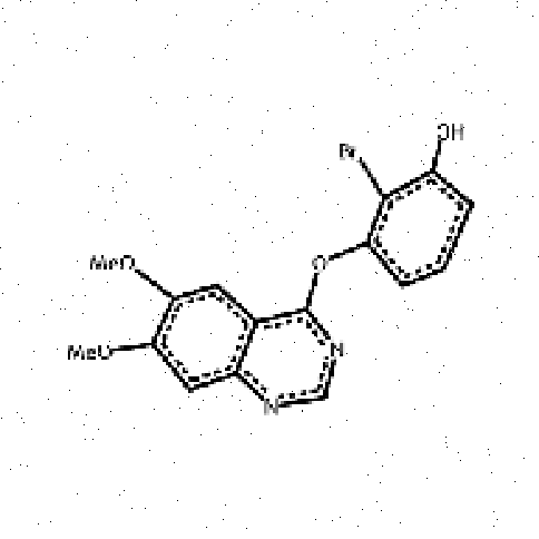 COc1cc2ncnc(Oc3cccc(O)c3Br)c2cc1OC